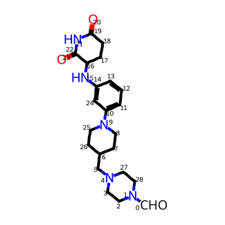 O=CN1CCN(CC2CCN(c3cccc(NC4CCC(=O)NC4=O)c3)CC2)CC1